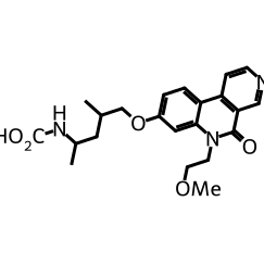 COCCn1c(=O)c2cnccc2c2ccc(OCC(C)CC(C)NC(=O)O)cc21